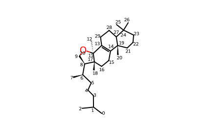 CC(C)CCC[C@@H](C)[C@H]1CO[C@@]2(C)C3=C(CC[C@]12C)[C@@]1(C)CCCC(C)(C)C1CC3